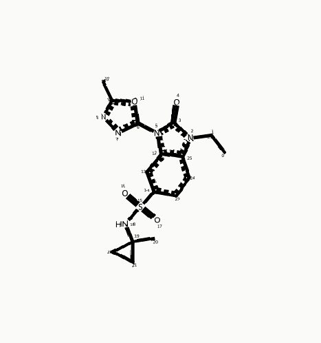 CCn1c(=O)n(-c2nnc(C)o2)c2cc(S(=O)(=O)NC3(C)CC3)ccc21